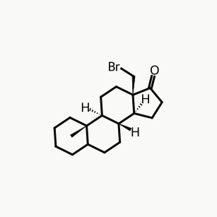 C[C@]12CCCCC1CC[C@H]1[C@@H]3CCC(=O)[C@@]3(CBr)CC[C@@H]12